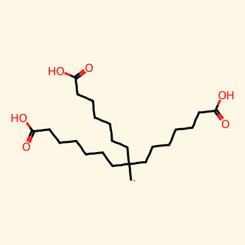 [CH2]C(CCCCCCC(=O)O)(CCCCCCC(=O)O)CCCCCCC(=O)O